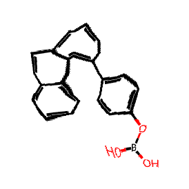 OB(O)Oc1ccc(-c2cccc3ccc4ccccc4c23)cc1